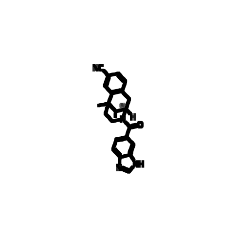 CC1[C@@H]2Cc3ccc(C#N)cc3C1(C)CCN2C(=O)c1ccc2nc[nH]c2c1